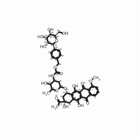 COc1cccc2c1C(=O)c1c(O)c3c(c(O)c1C2=O)C[C@@](O)(C(C)=O)C[C@@H]3OC1CC(NC(=O)OCc2ccc([C@@H]3O[C@H](CO)[C@H](O)[C@H](O)[C@H]3O)cc2)C(O)C(C)O1